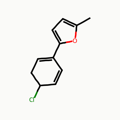 Cc1ccc(C2=CCC(Cl)C=C2)o1